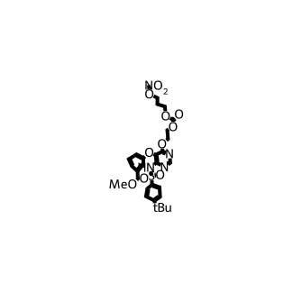 COCc1cccc(Oc2c(NS(=O)(=O)c3ccc(C(C)(C)C)cc3)ncnc2OCCOC(=O)OCCCO[N+](=O)[O-])c1